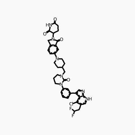 O=C1CCC(N2Cc3ccc(N4CCC(CN5CCCN(c6cccc(-c7cnc8[nH]cc(CC(F)F)c(Cl)c7-8)c6)C5=O)CC4)cc3C2=O)C(=O)N1